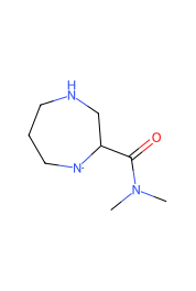 CN(C)C(=O)C1CNCCC[N]1